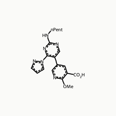 CCCCCNc1ncc(-c2cnc(OC)c(C(=O)O)c2)c(-n2cccn2)n1